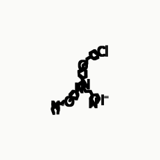 CC[N+](C)(CC)CCCOc1ccc(-n2cc(-c3ccc(OCCc4ccc(Cl)cc4)cc3)nc2CCC2=CN(C)CC=C2)cc1.[I-]